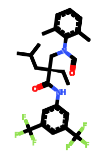 CC[C@@](CC(C)C)(CN(C=O)c1c(C)cccc1C)C(=O)Nc1cc(C(F)(F)F)cc(C(F)(F)F)c1